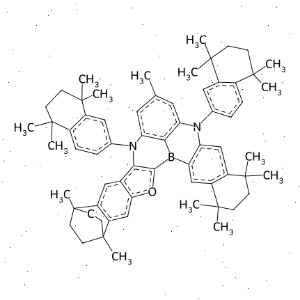 Cc1cc2c3c(c1)N(c1ccc4c(c1)C(C)(C)CCC4(C)C)c1c(oc4cc5c(cc14)C1(C)CCC5(C)CC1)B3c1cc3c(cc1N2c1ccc2c(c1)C(C)(C)CCC2(C)C)C(C)(C)CCC3(C)C